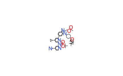 CC(=O)OCc1nc2ccc(-c3cc(C4CC4)cc(N(C(=O)OC(C)(C)C)c4cc(C#N)ccn4)n3)cc2n1[C@H]1CC[C@H](O[Si](C)(C)C(C)(C)C)CC1